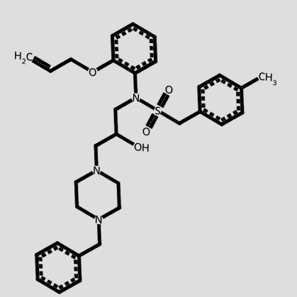 C=CCOc1ccccc1N(CC(O)CN1CCN(Cc2ccccc2)CC1)S(=O)(=O)Cc1ccc(C)cc1